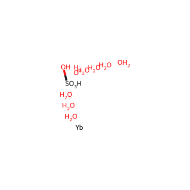 O.O.O.O.O.O.O.O.O=S(=O)(O)O.[Yb]